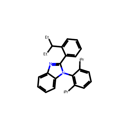 CCC(CC)c1ccccc1-c1nc2ccccc2n1-c1c(C(C)C)cccc1C(C)C